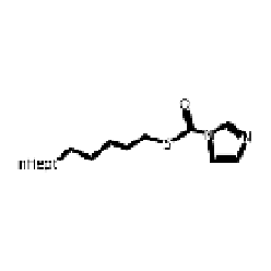 CCCCCCCCCCCCSC(=O)n1ccnc1